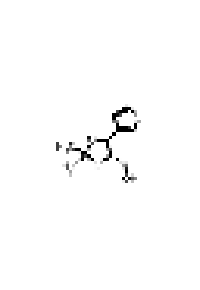 CC1(C)O[C@@H](CO)[C@H](c2ccsc2)O1